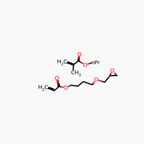 C=CC(=O)OCCCCOCC1CO1.[CH2]CCOC(=O)C(=C)C